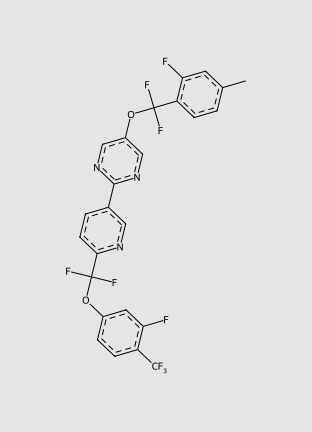 Cc1ccc(C(F)(F)Oc2cnc(-c3ccc(C(F)(F)Oc4ccc(C(F)(F)F)c(F)c4)nc3)nc2)c(F)c1